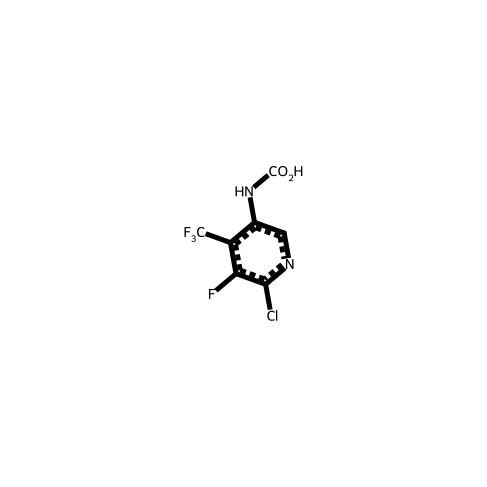 O=C(O)Nc1cnc(Cl)c(F)c1C(F)(F)F